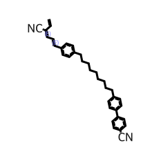 C=C/C(C#N)=C\C=C\c1ccc(CCCCCCCCCc2ccc(-c3ccc(C#N)cc3)cc2)cc1